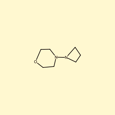 C1CN(N2CCOCC2)C1